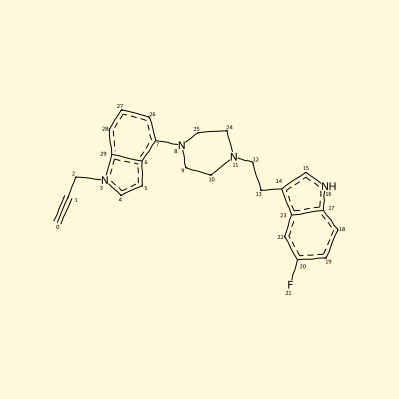 C#CCn1ccc2c(N3CCN(CCc4c[nH]c5ccc(F)cc45)CC3)cccc21